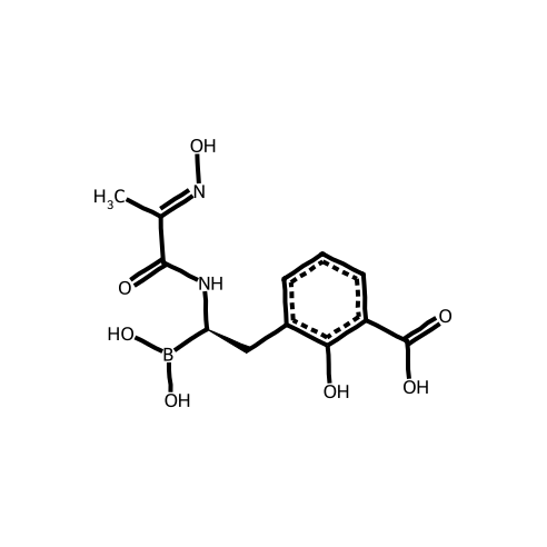 CC(=NO)C(=O)N[C@@H](Cc1cccc(C(=O)O)c1O)B(O)O